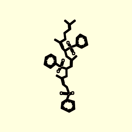 CC(C)=CCCC(C)=CC(CC(C)=CC(CC(C)=CCS(=O)(=O)c1ccccc1)S(=O)(=O)c1ccccc1)S(=O)(=O)c1ccccc1